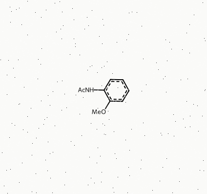 [CH2]C(=O)Nc1ccccc1OC